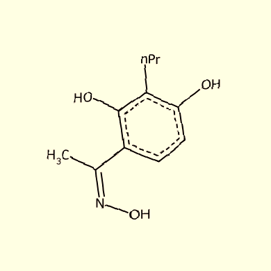 CCCc1c(O)ccc(/C(C)=N\O)c1O